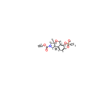 CC(C)(C)OC(=O)N1C[C@@H]2c3cccc(OS(=O)(=O)C(F)(F)F)c3CO[C@@]2(C)C1